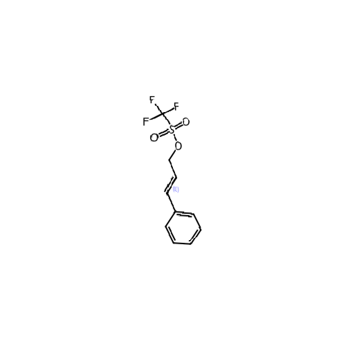 O=S(=O)(OC/C=C/c1ccccc1)C(F)(F)F